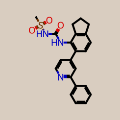 CS(=O)(=O)NC(=O)Nc1c(-c2ccnc(-c3ccccc3)c2)ccc2c1CCC2